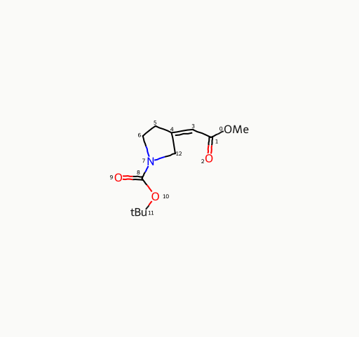 COC(=O)C=C1CCN(C(=O)OC(C)(C)C)C1